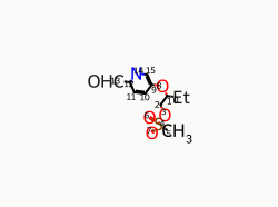 CCC(COS(C)(=O)=O)Oc1ccc(C=O)nc1